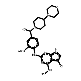 CCCNc1nc(Nc2ccc(C(O)N3CCC(N4CCOCC4)CC3)cc2OC)nc2[nH]cc(Cl)c12